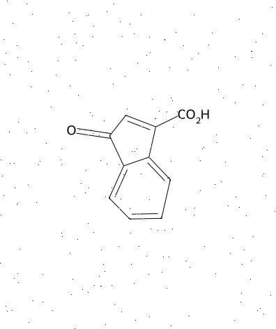 O=C(O)C1=CC(=O)c2ccccc21